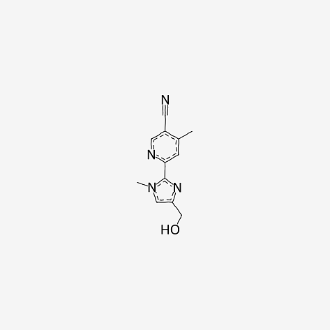 Cc1cc(-c2nc(CO)cn2C)ncc1C#N